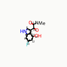 CNC(=O)C(=O)c1c[nH]c2cc(F)cc(O)c12